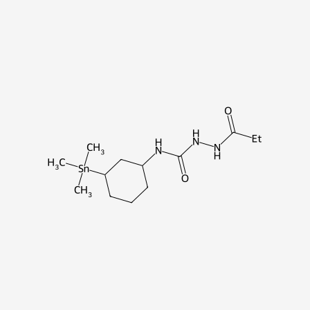 CCC(=O)NNC(=O)NC1CCC[CH]([Sn]([CH3])([CH3])[CH3])C1